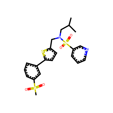 CC(C)CN(Cc1ccc(-c2cccc(S(C)(=O)=O)c2)s1)S(=O)(=O)c1cccnc1